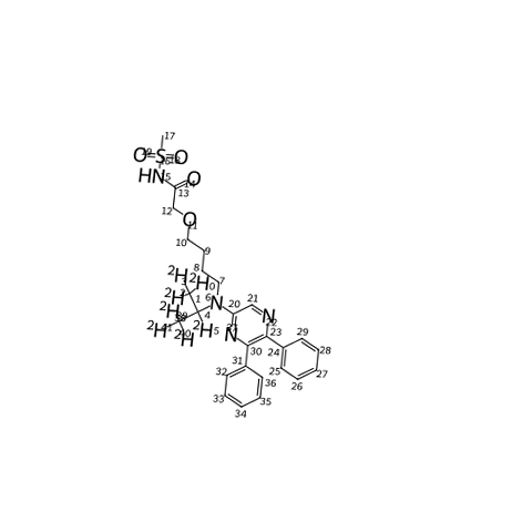 [2H]C([2H])([2H])C([2H])(N(CCCCOCC(=O)NS(C)(=O)=O)c1cnc(-c2ccccc2)c(-c2ccccc2)n1)C([2H])([2H])[2H]